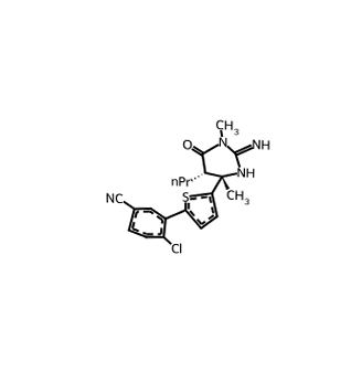 CCC[C@@H]1C(=O)N(C)C(=N)N[C@]1(C)c1ccc(-c2cc(C#N)ccc2Cl)s1